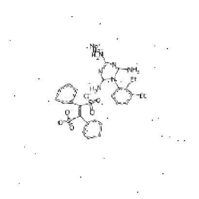 CCc1cccc(N2C(N)=NC(N)=NC2N)c1CC.O=S(=O)([O-])C(=C(c1ccccc1)S(=O)(=O)[O-])c1ccccc1.[Na+].[Na+]